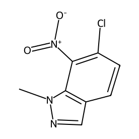 Cn1ncc2ccc(Cl)c([N+](=O)[O-])c21